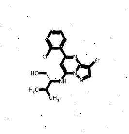 CC(C)[C@H](CO)Nc1cc(-c2ccccc2Cl)nc2c(Br)cnn12